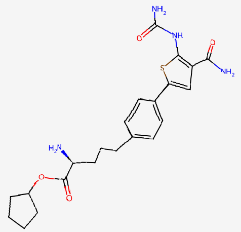 NC(=O)Nc1sc(-c2ccc(CCC[C@H](N)C(=O)OC3CCCC3)cc2)cc1C(N)=O